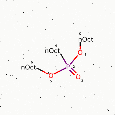 CCCCCCCCOP(=O)(CCCCCCCC)OCCCCCCCC